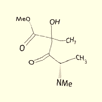 CN[C@@H](C)C(=O)C(C)(O)C(=O)OC